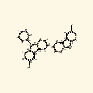 Cc1ccc2sc3ccc(-c4ccc5c(c4)c4cc(I)ccc4n5-c4ccccc4)cc3c2c1